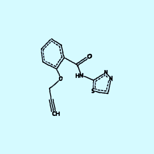 C#CCOc1ccccc1C(=O)Nc1nncs1